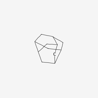 C1C2CC3CC1C1CC2CC3C1